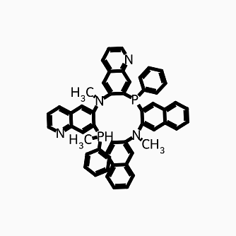 CN1c2cc3ccccc3cc2P(c2ccccc2)c2cc3ncccc3cc2N(C)c2cc3cccnc3cc2[PH](C)(c2ccccc2)c2cc3ccccc3cc21